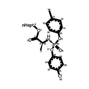 CCCCCCCOC(=O)[C@H](C)N[P@](=O)(Oc1ccc(C)cc1)Oc1ccc(Cl)cc1